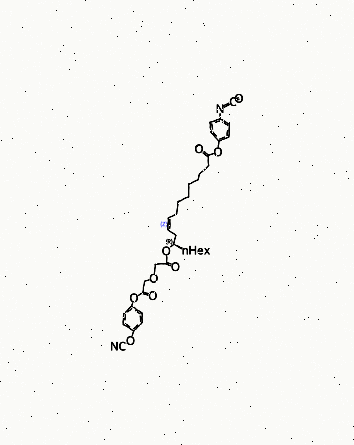 CCCCCC[C@H](C/C=C\CCCCCCCC(=O)Oc1ccc(N=C=O)cc1)OC(=O)COCC(=O)Oc1ccc(OC#N)cc1